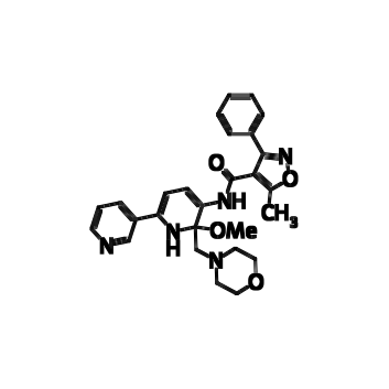 COC1(CN2CCOCC2)NC(c2cccnc2)=CC=C1NC(=O)c1c(-c2ccccc2)noc1C